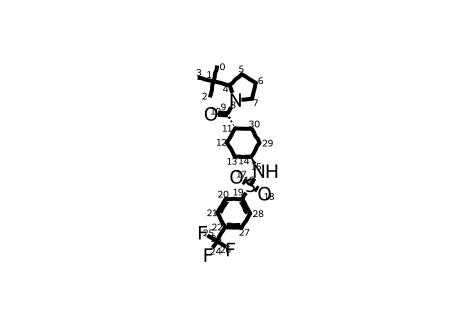 CC(C)(C)C1CCCN1C(=O)[C@H]1CC[C@H](NS(=O)(=O)c2ccc(C(F)(F)F)cc2)CC1